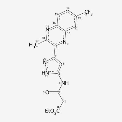 CCOC(=O)CC(=O)Nc1cc(-c2nc3cc(C(F)(F)F)ccc3nc2C)n[nH]1